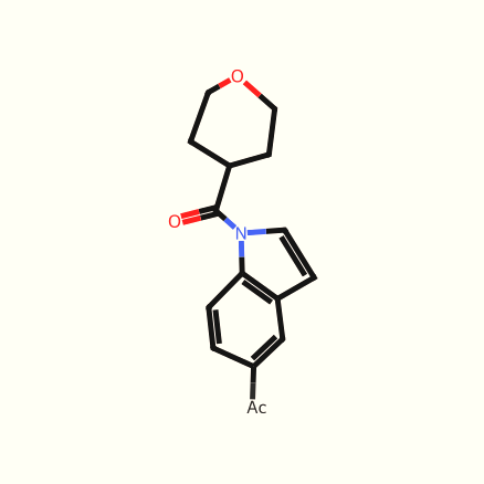 CC(=O)c1ccc2c(ccn2C(=O)C2CCOCC2)c1